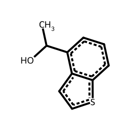 CC(O)c1cccc2sccc12